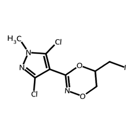 Cn1nc(Cl)c(C2=NOCC(CI)O2)c1Cl